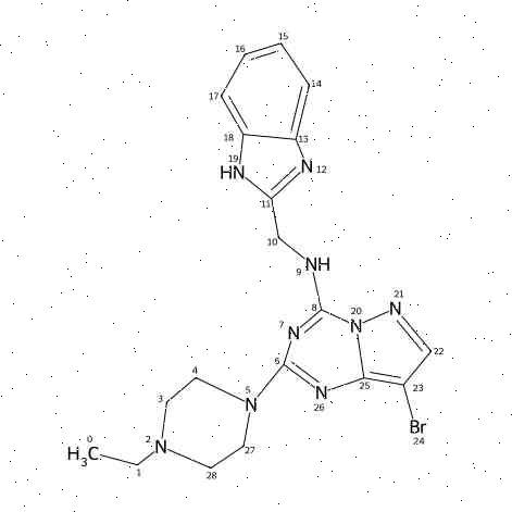 CCN1CCN(c2nc(NCc3nc4ccccc4[nH]3)n3ncc(Br)c3n2)CC1